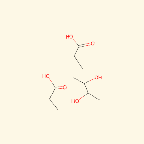 CC(O)C(C)O.CCC(=O)O.CCC(=O)O